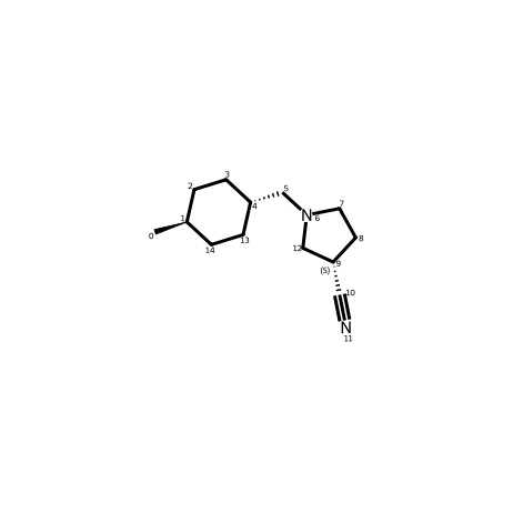 C[C@H]1CC[C@H](CN2CC[C@H](C#N)C2)CC1